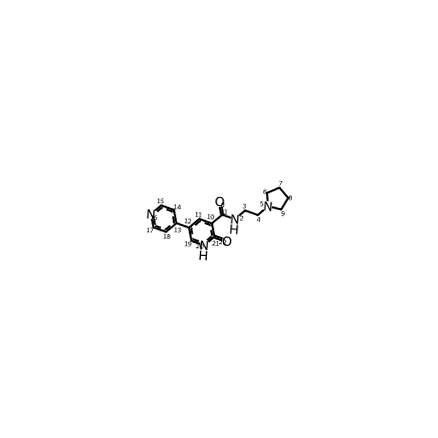 O=C(NCCN1CCCC1)c1cc(-c2ccncc2)c[nH]c1=O